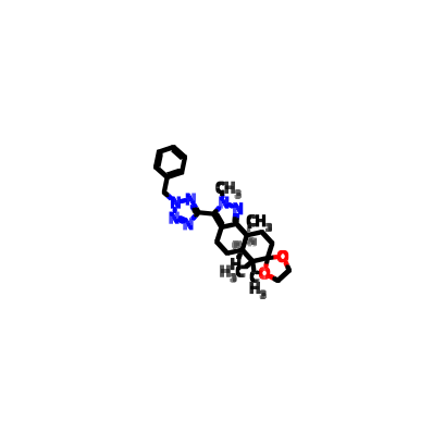 Cn1nc2c(c1-c1nnn(Cc3ccccc3)n1)CC[C@H]1C(C)(C)C3(CC[C@]21C)OCCO3